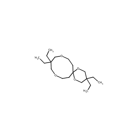 CCC1(CC)COCCC2(CCOC1)OCC(CC)(CC)CO2